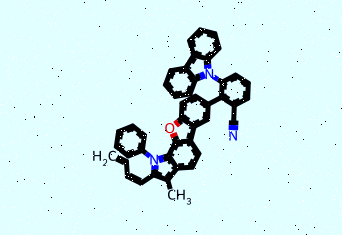 C=C/C=C\c1c(C)c2ccc3c4cc(-c5c(C#N)cccc5-n5c6ccccc6c6ccccc65)ccc4oc3c2n1-c1ccccc1